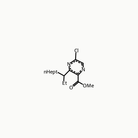 CCCCCCCC(CC)c1nc(Cl)cnc1C(=O)OC